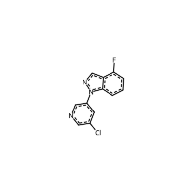 Fc1cccc2c1cnn2-c1cncc(Cl)c1